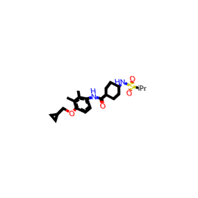 Cc1c(NC(=O)C2CCC(NS(=O)(=O)C(C)C)CC2)ccc(OCC2CC2)c1C